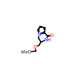 COCOCC1Cn2cccc2C(=O)N1